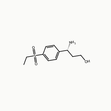 CCS(=O)(=O)c1ccc([C@H](N)CCO)cc1